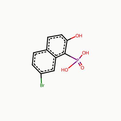 O=P(O)(O)c1c(O)ccc2ccc(Br)cc12